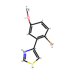 CCOc1ccc(Br)c(-c2cs[c]n2)c1